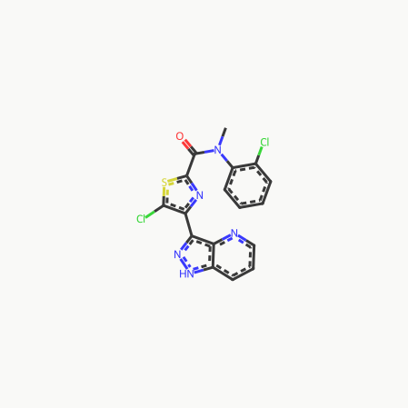 CN(C(=O)c1nc(-c2n[nH]c3cccnc23)c(Cl)s1)c1ccccc1Cl